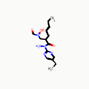 CCCCCC(CN(O)C=O)C(=O)N(N)c1ncc(CC)cn1